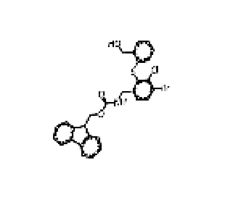 O=C(NCc1ccc(Br)c(Cl)c1Sc1ccccc1CO)OCC1c2ccccc2-c2ccccc21